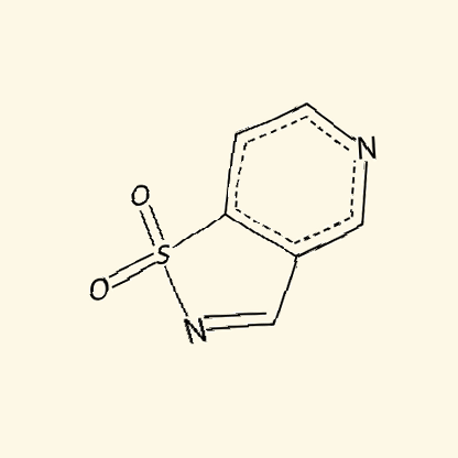 O=S1(=O)N=Cc2cnccc21